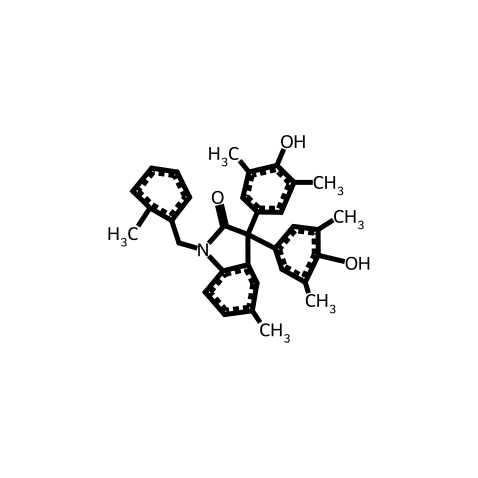 Cc1ccc2c(c1)C(c1cc(C)c(O)c(C)c1)(c1cc(C)c(O)c(C)c1)C(=O)N2Cc1ccccc1C